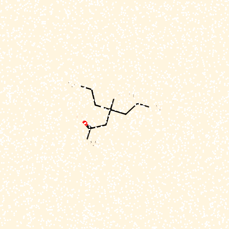 COC(=O)CC(CCC#N)(CCC#N)C(=O)O